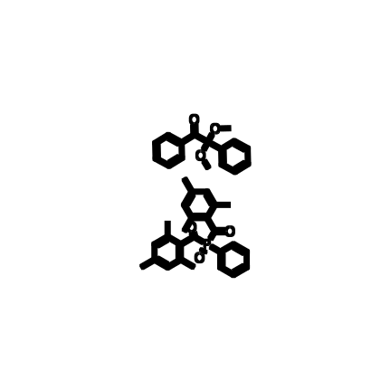 COC(OC)(C(=O)c1ccccc1)c1ccccc1.Cc1cc(C)c(C(=O)P(=O)(C(=O)c2c(C)cc(C)cc2C)c2ccccc2)c(C)c1